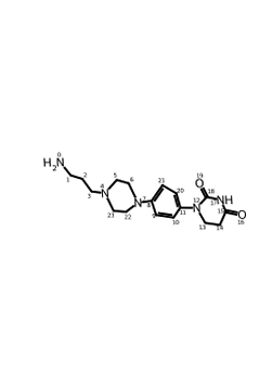 NCCCN1CCN(c2ccc(N3CCC(=O)NC3=O)cc2)CC1